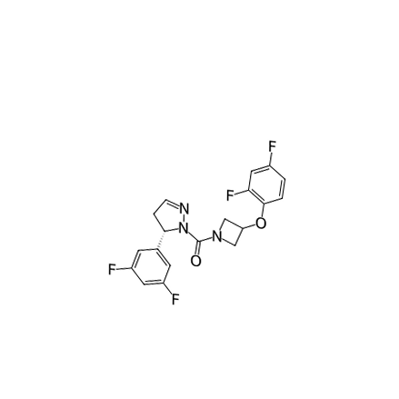 O=C(N1CC(Oc2ccc(F)cc2F)C1)N1N=CC[C@H]1c1cc(F)cc(F)c1